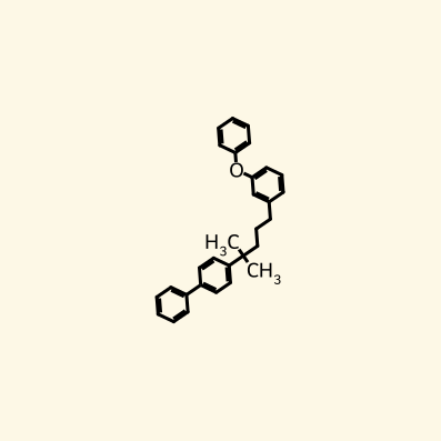 CC(C)(CCCc1cccc(Oc2ccccc2)c1)c1ccc(-c2ccccc2)cc1